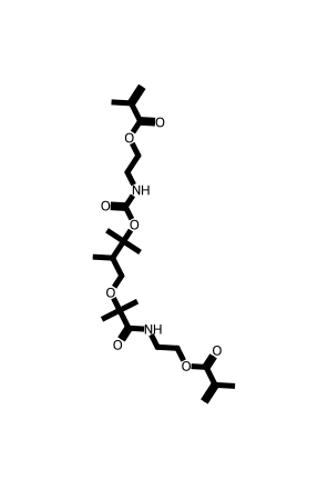 C=C(C)C(=O)OCCNC(=O)OC(C)(C)C(C)COC(C)(C)C(=O)NCCOC(=O)C(=C)C